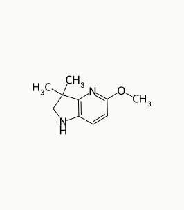 COc1ccc2c(n1)C(C)(C)CN2